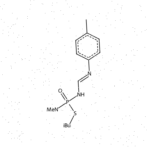 CCC(C)SP(=O)(NC)NC=Nc1ccc(C)cc1